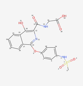 CS(=O)(=O)Nc1ccc(Oc2nc(C(=O)NCC(=O)O)c(O)c3ccccc23)cc1